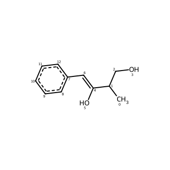 CC(CO)C(O)=Cc1ccccc1